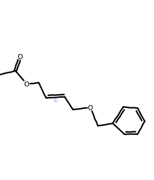 CC(=O)OC/C=C/COCc1ccccc1